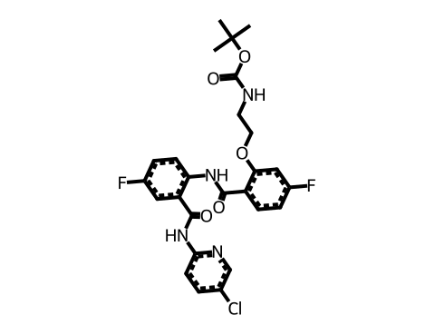 CC(C)(C)OC(=O)NCCOc1cc(F)ccc1C(=O)Nc1ccc(F)cc1C(=O)Nc1ccc(Cl)cn1